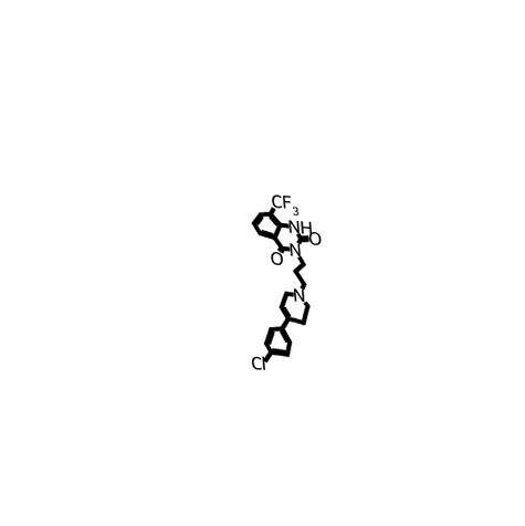 O=c1[nH]c2c(C(F)(F)F)cccc2c(=O)n1CCCN1CC=C(c2ccc(Cl)cc2)CC1